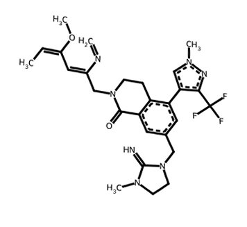 C=N/C(=C\C(=C/C)OC)CN1CCc2c(cc(CN3CCN(C)C3=N)cc2-c2cn(C)nc2C(F)(F)F)C1=O